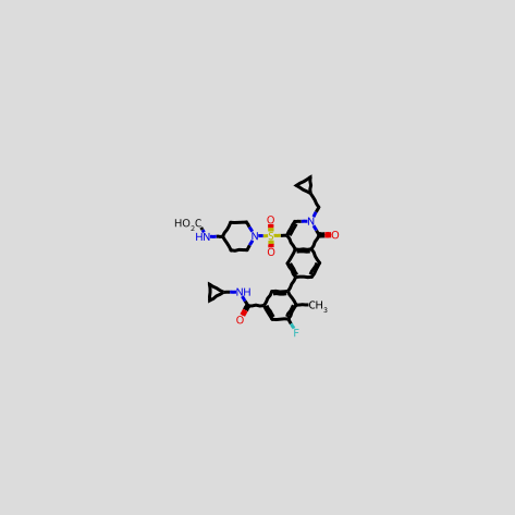 Cc1c(F)cc(C(=O)NC2CC2)cc1-c1ccc2c(=O)n(CC3CC3)cc(S(=O)(=O)N3CCC(NC(=O)O)CC3)c2c1